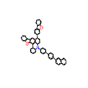 c1ccc(N(c2ccc(-c3ccc(-c4ccc5ccccc5c4)cc3)cc2)c2ccc(-c3ccc4c(c3)oc3ccccc34)cc2)c(-c2cccc3c2oc2ccccc23)c1